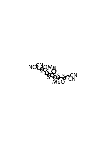 COc1cc(C=C(C#N)C#N)sc1-c1cc2sc3c(c2s1)C1(CCCCC1)c1c-3sc2cc(-c3sc(C=C(C#N)C#N)cc3OC)sc12